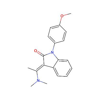 COc1ccc(N2C(=O)C(=C(C)N(C)C)c3ccccc32)cc1